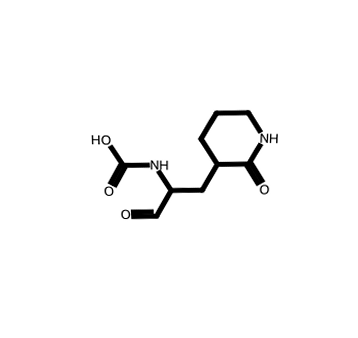 O=CC(CC1CCCNC1=O)NC(=O)O